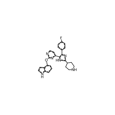 Fc1ccc(-c2nc(C3CCNCC3)[nH]c2-c2ccnc(Oc3cccc4[nH]ccc34)n2)cc1